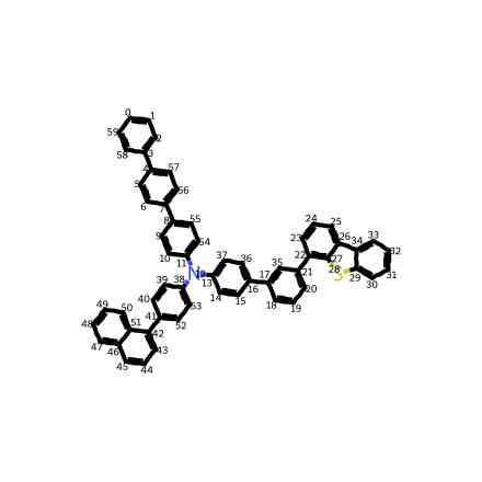 c1ccc(-c2ccc(-c3ccc(N(c4ccc(-c5cccc(-c6cccc7c6sc6ccccc67)c5)cc4)c4ccc(-c5cccc6ccccc56)cc4)cc3)cc2)cc1